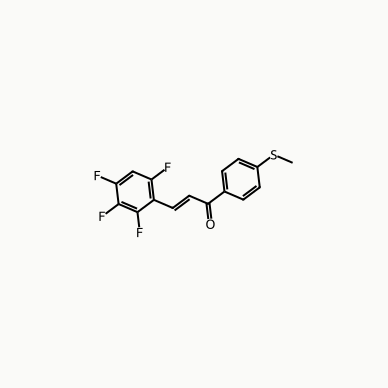 CSc1ccc(C(=O)C=Cc2c(F)cc(F)c(F)c2F)cc1